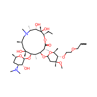 C=CCOCCO[C@H]1[C@H](C)OC(O[C@H]2[C@H](C)[C@@H](O[C@@H]3O[C@H](C)C[C@H](N(C)C)[C@H]3O)[C@](C)(O)C[C@@H](C)CN(C)[C@H](C)[C@H](O)[C@](C)(O)[C@@H](CC)OC(=O)[C@@H]2C)C[C@@]1(C)OC